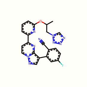 CC(Cn1cnnn1)Oc1cccc(-c2ccn3ncc(-c4cc(F)ccc4C#N)c3n2)n1